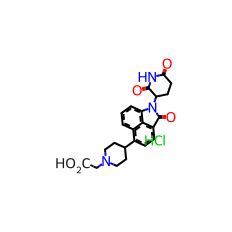 Cl.O=C(O)CN1CCC(c2ccc3c4c(cccc24)N(C2CCC(=O)NC2=O)C3=O)CC1